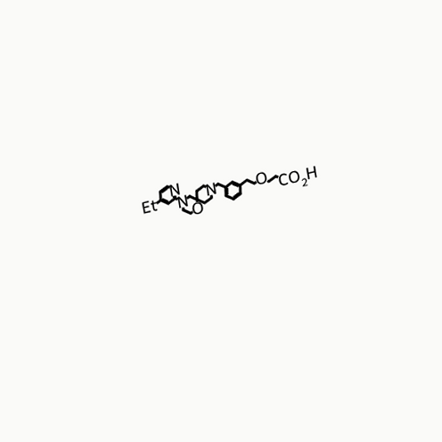 CCc1ccnc(N2CCOC3(CCN(Cc4cccc(CCOCCC(=O)O)c4)CC3)C2)c1